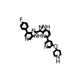 Fc1ccc(-c2cncc3[nH]c(-c4n[nH]c5ccc(-c6cncc(OC7CCNCC7)c6)nc45)nc23)cc1